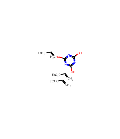 C=CC(=O)OCC.C=CC(=O)OCC.C=CC(=O)OCC.Oc1nc(O)nc(O)n1